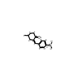 CC1CCC(=O)/C(=C\c2ccc(N(C)C)cc2)C1